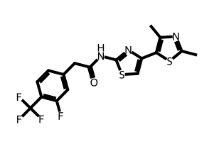 Cc1nc(C)c(-c2csc(NC(=O)Cc3ccc(C(F)(F)F)c(F)c3)n2)s1